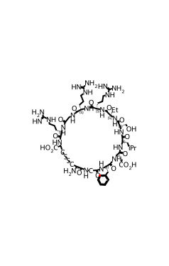 CC[C@@H]1NC(=O)[C@H](CO)NC(=O)[C@H](CC(C)C)NC(=O)[C@H](CC(=O)O)NC(=O)[C@H](Cc2ccccc2)NC(=O)CNC(=O)[C@@H](N)CSSCC(C(=O)O)NC(=O)[C@H](CCCNC(=N)N)NC(=O)CNC(=O)[C@H](CCCNC(=N)N)NC(=O)[C@H](CCCNC(=N)N)NC1=O